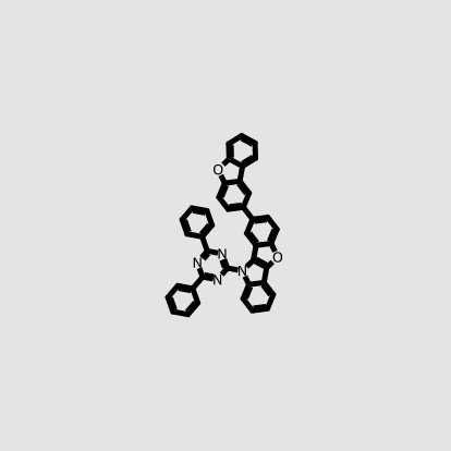 c1ccc(-c2nc(-c3ccccc3)nc(-n3c4ccccc4c4oc5ccc(-c6ccc7oc8ccccc8c7c6)cc5c43)n2)cc1